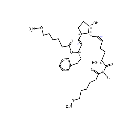 CCN(C(=O)CCCCCO[N+](=O)[O-])C(=O)[C@H](O)CC/C=C\C[C@H]1[C@@H](O)CC[C@@H]1/C=C/[C@H](CCc1ccccc1)OC(=O)CCCCCO[N+](=O)[O-]